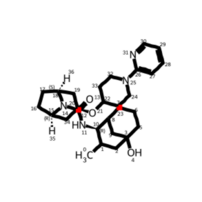 CC1CC2(O)CCCC(C2)[C@@H]1NC(=O)N1[C@@H]2CC[C@H]1C[C@@H](OC1CCN(c3ccccn3)CC1)C2